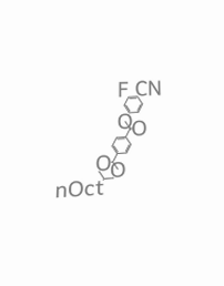 CCCCCCCCC1COC(c2ccc(C(=O)Oc3ccc(C#N)c(F)c3)cc2)OC1